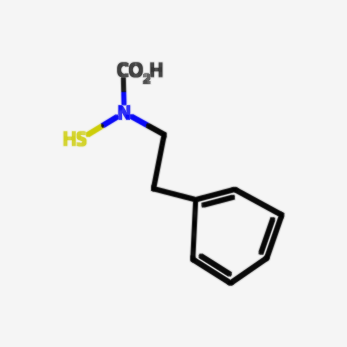 O=C(O)N(S)CCc1ccccc1